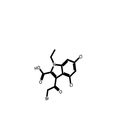 CCn1c(C(=O)O)c(C(=O)CBr)c2c(Cl)cc(Cl)cc21